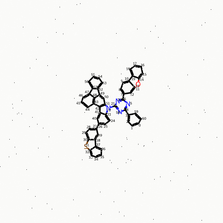 c1ccc(-c2nc(-c3ccc4c(c3)oc3ccccc34)nc(-n3c4ccc(-c5ccc6sc7ccccc7c6c5)cc4c4c5cccc6c5c(cc43)-c3ccccc3-6)n2)cc1